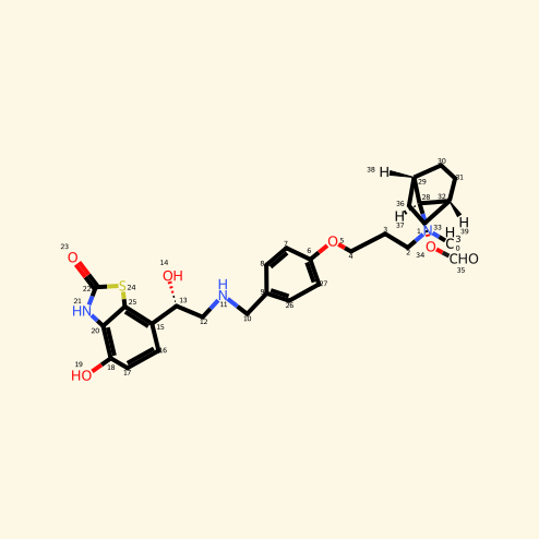 CN(CCCOc1ccc(CNC[C@@H](O)c2ccc(O)c3[nH]c(=O)sc23)cc1)[C@H]1[C@H]2CC[C@@H]1[C@H](OC=O)C2